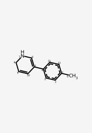 Cc1ccc(C2=CNCC=C2)cc1